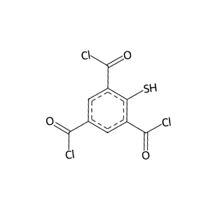 O=C(Cl)c1cc(C(=O)Cl)c(S)c(C(=O)Cl)c1